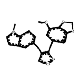 COc1cc(-c2nocc2-c2ccc3c(ccn3C)c2)cc2c1OCO2